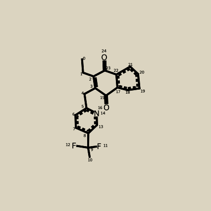 CCC1=C(Cc2ccc(C(C)(F)F)cn2)C(=O)c2ccccc2C1=O